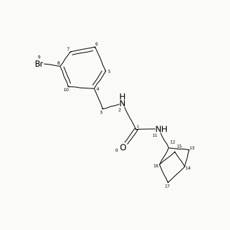 O=C(NCc1cccc(Br)c1)NC1CC2CC1C2